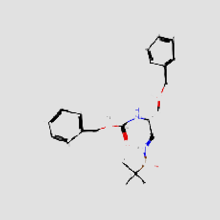 CC(C)(C)[S@@+]([O-])N=C[C@@H](COCc1ccccc1)NC(=O)OCc1ccccc1